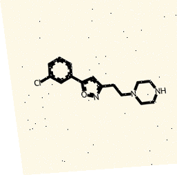 Clc1cccc(-c2cc(CCN3C[CH]NCC3)no2)c1